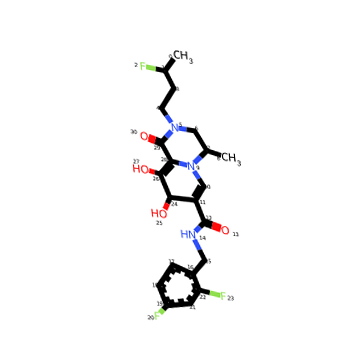 CC(F)CCN1CC(C)N2C=C(C(=O)NCc3ccc(F)cc3F)C(O)C(O)=C2C1=O